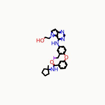 CC1(NC(=O)c2cccc(Oc3ccc(Nc4ncnc5ccn(CCO)c45)cc3CI)c2)CCCC1